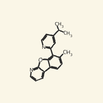 Cc1ccc2c(oc3ncccc32)c1-c1cc(C(C)C)ccn1